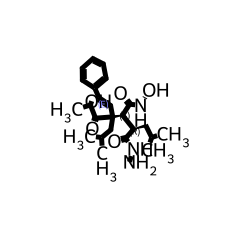 CC(C)C[C@@H](C(=O)NN)[C@H](C(=O)NO)C(/C=C/c1ccccc1)(CC(C)C)C(=O)C(C)O